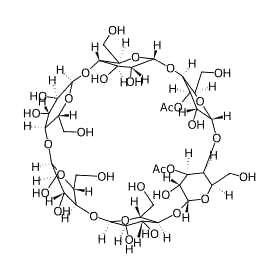 CC(=O)O[C@@H]1[C@@H](O)[C@H]2O[C@@H]3[C@H](OC(C)=O)[C@@H](O)[C@@H](O[C@H]4[C@H](O)[C@@H](O)[C@@H](O[C@H]5[C@H](O)[C@@H](O)[C@@H](O[C@H]6[C@H](O)[C@@H](O)[C@@H](O[C@H]7[C@H](O)[C@@H](O)[C@@H](O[C@H]1[C@@H](CO)O2)O[C@@H]7CO)O[C@@H]6CO)O[C@@H]5CO)O[C@@H]4CO)O[C@@H]3CO